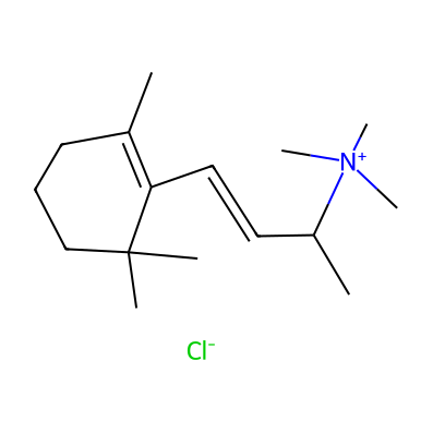 CC1=C(C=CC(C)[N+](C)(C)C)C(C)(C)CCC1.[Cl-]